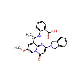 COc1cc([C@@H](C)Nc2ccccc2C(=O)O)c2nc(N3Cc4ccccc4C3)cc(=O)n2c1